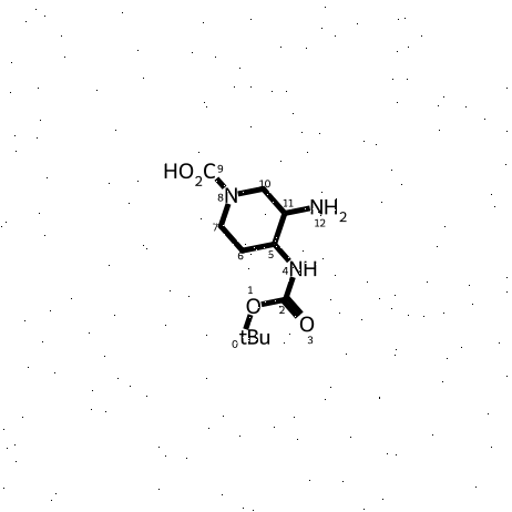 CC(C)(C)OC(=O)NC1CCN(C(=O)O)CC1N